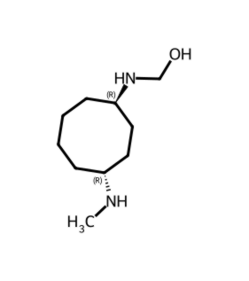 CN[C@@H]1CCCC[C@@H](NCO)CC1